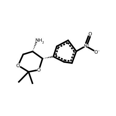 CC1(C)OC[C@H](N)[C@H](c2ccc([N+](=O)[O-])cc2)O1